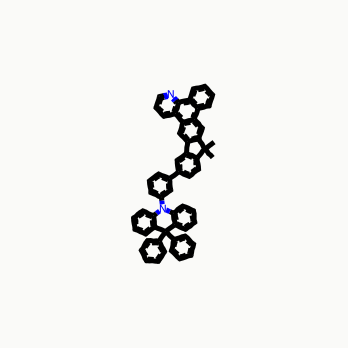 CC1(C)c2ccc(-c3cccc(N4c5ccccc5C(c5ccccc5)(c5ccccc5)c5ccccc54)c3)cc2-c2cc3c(cc21)c1ccccc1c1ncccc31